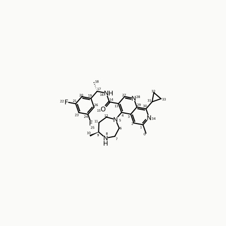 Cc1cc2c(N3CCN[C@@H](C)CC3)c(C(=O)N[C@@H](C)c3cc(F)cc(F)c3)cnc2c(C2CC2)n1